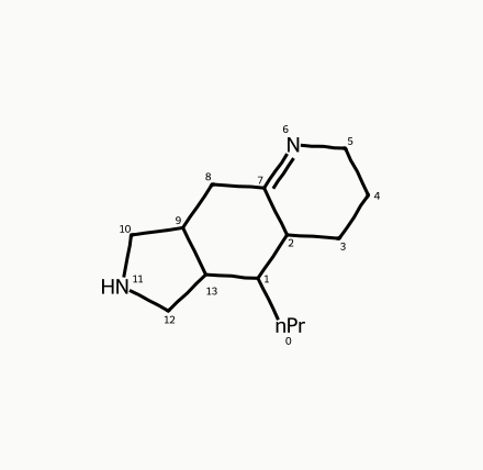 CCCC1C2CCCN=C2CC2CNCC21